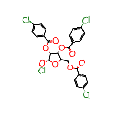 O=C(OC[C@H]1O[C@H](OCl)[C@H](OC(=O)c2ccc(Cl)cc2)[C@@H]1OC(=O)c1ccc(Cl)cc1)c1ccc(Cl)cc1